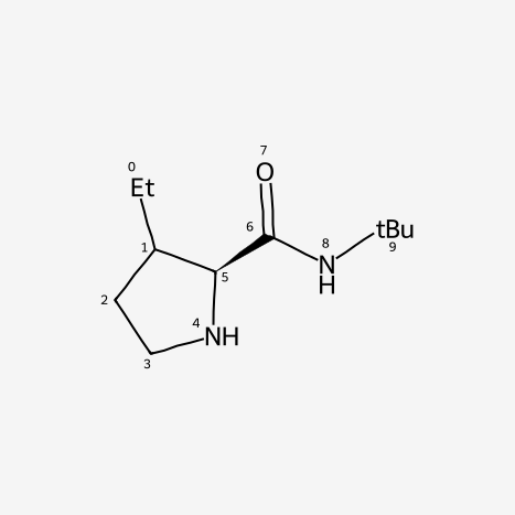 CCC1CCN[C@@H]1C(=O)NC(C)(C)C